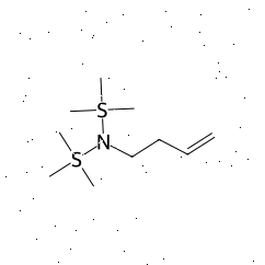 C=CCCN(S(C)(C)C)S(C)(C)C